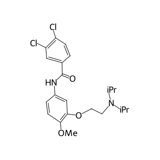 COc1ccc(NC(=O)c2ccc(Cl)c(Cl)c2)cc1OCCN(C(C)C)C(C)C